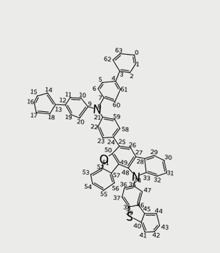 c1ccc(-c2ccc(N(c3ccc(-c4ccccc4)cc3)c3ccc(-c4cc5c6ccccc6n(-c6ccc7sc8ccccc8c7c6)c5c5c4oc4ccccc45)cc3)cc2)cc1